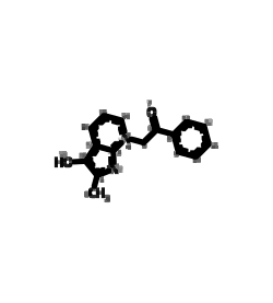 Cc1nc2n(CC(=O)c3ccccc3)cccc-2c1O